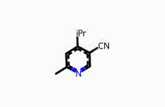 Cc1cc(C(C)C)c(C#N)cn1